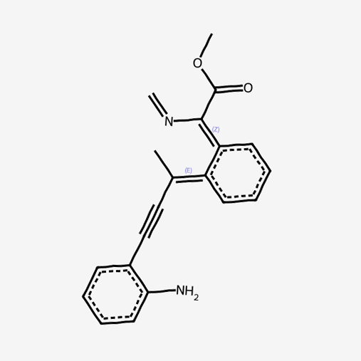 C=N/C(C(=O)OC)=c1/cccc/c1=C(/C)C#Cc1ccccc1N